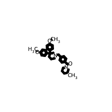 COc1ccc(C2(c3ccc(OC)cc3)CCCN(Cc3ccc(C(=O)N4CCCC(C)C4)cc3)C2)cc1